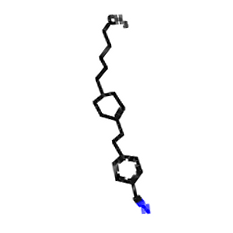 CCCCCCC1CC=C(CCc2ccc(C#N)cc2)CC1